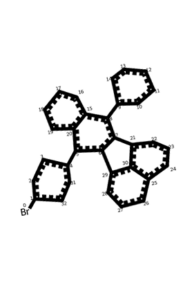 Brc1ccc(-c2c3c(c(-c4ccccc4)c4ccccc24)-c2cccc4cccc-3c24)cc1